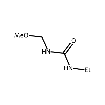 CCNC(=O)NCOC